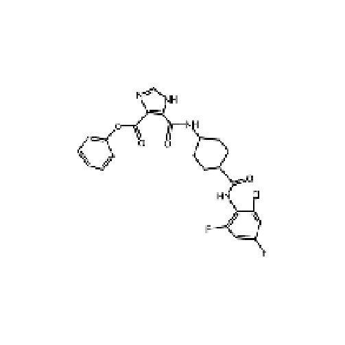 O=C(Oc1ccccc1)c1nc[nH]c1C(=O)NC1CCC(C(=O)Nc2c(F)cc(F)cc2Cl)CC1